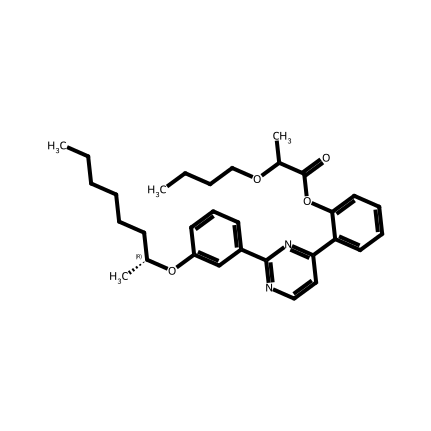 CCCCCC[C@@H](C)Oc1cccc(-c2nccc(-c3ccccc3OC(=O)C(C)OCCCC)n2)c1